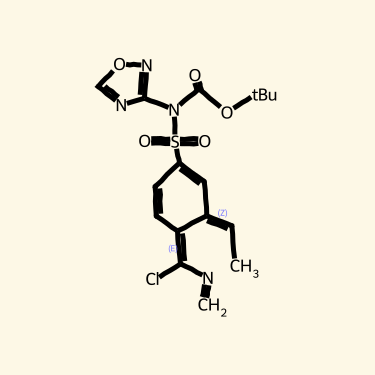 C=N/C(Cl)=c1/ccc(S(=O)(=O)N(C(=O)OC(C)(C)C)c2ncon2)c/c1=C/C